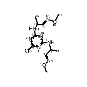 CON=CC(C)Nc1nc(Cl)nc(NC(C)C=NOC)n1